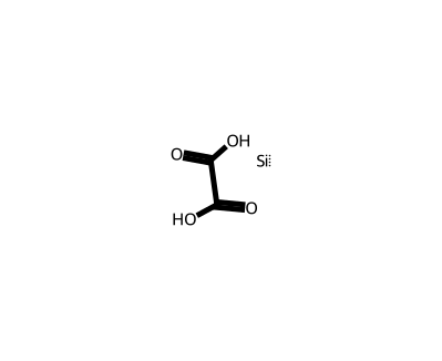 O=C(O)C(=O)O.[Si]